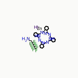 I.NCCC(F)(F)C(F)(F)C(F)(F)C(F)(F)F.[Zn].c1ccc2c(c1)-c1nc-2nc2[nH]c(nc3nc(nc4[nH]c(n1)c1ccccc41)-c1ccccc1-3)c1ccccc21